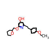 CCOc1ccc(CCc2cc(O)cc(OCC3CCCCO3)n2)cc1